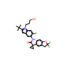 CC(C)(C)c1cc2cc(NC(=O)C3(c4ccc5c(c4)CC(F)(F)O5)CC3)c(F)cc2n1CCCO